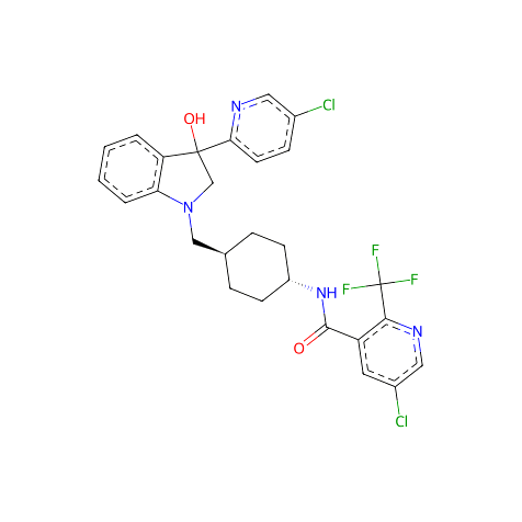 O=C(N[C@H]1CC[C@H](CN2CC(O)(c3ccc(Cl)cn3)c3ccccc32)CC1)c1cc(Cl)cnc1C(F)(F)F